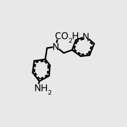 Nc1ccc(CN(Cc2cccnc2)C(=O)O)cc1